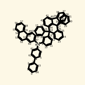 c1ccc(-c2ccc(N(c3cccc(C4(c5ccccc5)c5ccccc5C5(c6ccccc6)c6ccccc6-c6cccc4c65)c3)c3ccc4c(ccc5ccccc54)c3)cc2)cc1